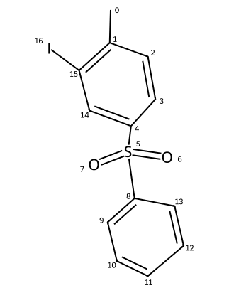 Cc1ccc(S(=O)(=O)c2ccccc2)cc1I